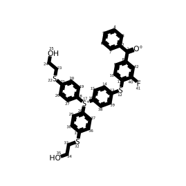 O=C(c1ccccc1)c1ccc(Sc2ccc([S+](c3ccc(SCCO)cc3)c3ccc(SCCO)cc3)cc2)c(F)c1